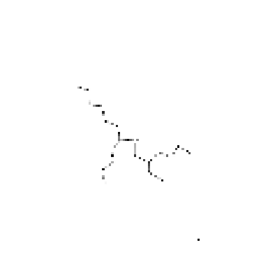 CCCCCCC([CH]CC(CC)CCCC)CCCC